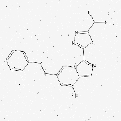 Fc1cc(SCc2ccccc2)cn2c(-c3nnc(C(F)F)s3)ncc12